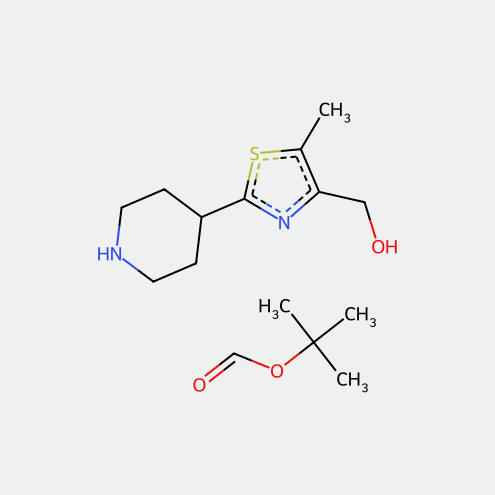 CC(C)(C)OC=O.Cc1sc(C2CCNCC2)nc1CO